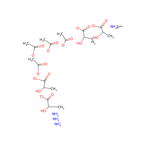 CC(=O)[O-].CC(=O)[O-].CC(=O)[O-].CC(=O)[O-].CC(O)C(=O)[O-].CC(O)C(=O)[O-].CC(O)C(=O)[O-].CC(O)C(=O)[O-].[NH4+].[NH4+].[NH4+].[NH4+].[Zr+4]